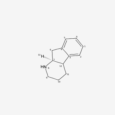 c1ccc2c(c1)C[C@@H]1NCCCC21